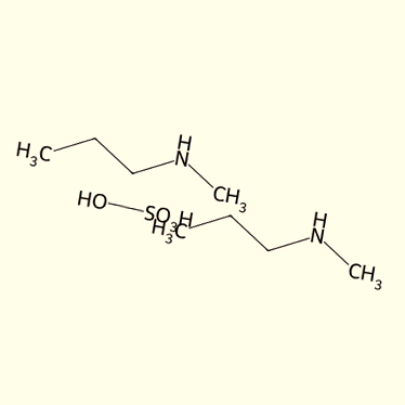 CCCNC.CCCNC.O=S(=O)(O)O